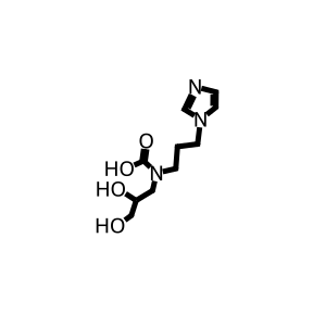 O=C(O)N(CCCn1ccnc1)CC(O)CO